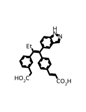 CC/C(=C(/c1ccc(/C=C/C(=O)O)cc1)c1ccc2[nH]ncc2c1)c1cccc(CC(=O)O)c1